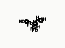 N#Cc1ccc(COc2cccc(NC3CCCNC3)n2)c(F)c1.O=C(O)C(F)(F)F